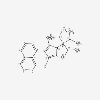 Cc1c(-c2cccc3ccccc23)c(Br)cn1[Si](C(C)C)(C(C)C)C(C)C